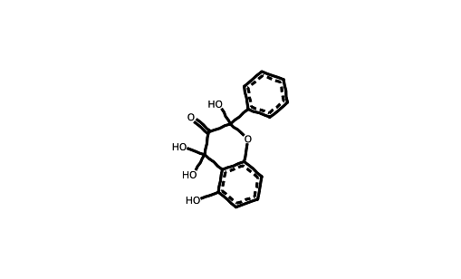 O=C1C(O)(O)c2c(O)cccc2OC1(O)c1ccccc1